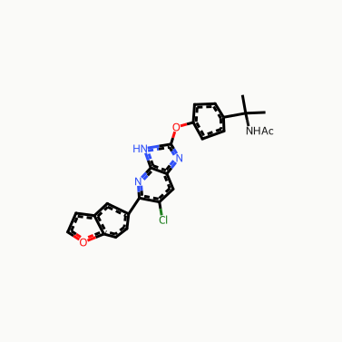 CC(=O)NC(C)(C)c1ccc(Oc2nc3cc(Cl)c(-c4ccc5occc5c4)nc3[nH]2)cc1